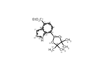 CCOC(=O)c1ccc(B2OC(C)(C)C(C)(C)O2)c2[nH]ncc12